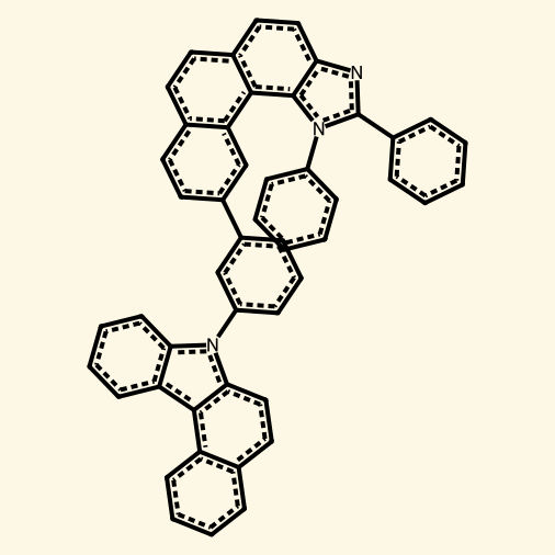 c1ccc(-c2nc3ccc4ccc5ccc(-c6cccc(-n7c8ccccc8c8c9ccccc9ccc87)c6)cc5c4c3n2-c2ccccc2)cc1